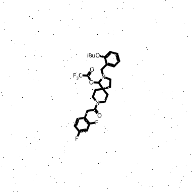 CC(C)COc1ccccc1CN1CCC2(CCN(C(=O)Cc3ccc(F)cc3F)CC2)C1OC(=O)C(F)(F)F